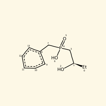 CC[C@@H](O)CP(=O)(O)Cc1ccccc1